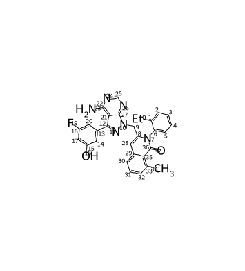 CCc1ccccc1-n1c(Cn2nc(-c3cc(O)cc(F)c3)c3c(N)ncnc32)cc2cccc(C)c2c1=O